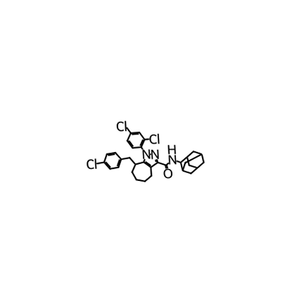 O=C(NC1C2CC3CC(C2)CC1C3)c1nn(-c2ccc(Cl)cc2Cl)c2c1CCCCC2Cc1ccc(Cl)cc1